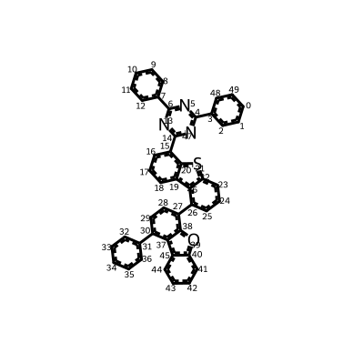 c1ccc(-c2nc(-c3ccccc3)nc(-c3cccc4c3sc3cccc(-c5ccc(-c6ccccc6)c6c5oc5ccccc56)c34)n2)cc1